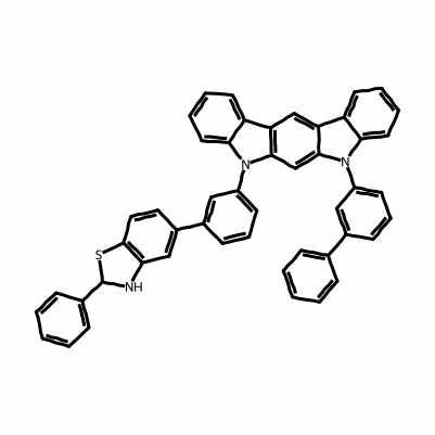 c1ccc(-c2cccc(-n3c4ccccc4c4cc5c6ccccc6n(-c6cccc(-c7ccc8c(c7)NC(c7ccccc7)S8)c6)c5cc43)c2)cc1